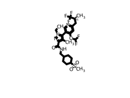 CCn1nc(C(=O)NCC2CCC(S(C)(=O)=O)CC2)c(C)c1-c1cnc(C[C@H](C)C(F)(F)F)cc1OC(F)F